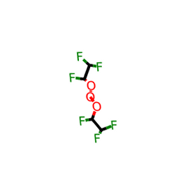 FC(F)C(F)OOOC(F)C(F)F